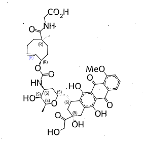 COc1cccc2c1C(=O)c1c(O)c3c(c(O)c1C2=O)C[C@@](O)(C(=O)CO)C[C@@H]3C[C@H]1C[C@H](NC(=O)O[C@H]2/C=C/CC[C@@](C)(C(=O)NCC(=O)O)CC2)[C@H](O)[C@H](C)O1